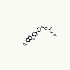 CCOC(=O)[C@H]1C[C@@H](OC2CCN(c3ccc(-c4nc5ccc(C)cc5[nH]4)cn3)CC2)C1